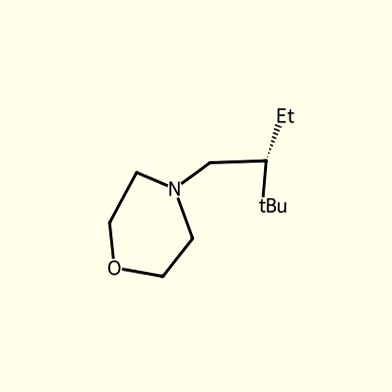 CC[C@@H](CN1CCOCC1)C(C)(C)C